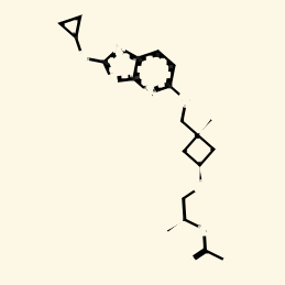 CC(=O)N[C@@H](C)CO[C@H]1C[C@](C)(COc2ccc3nc(OC4CC4)sc3n2)C1